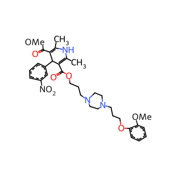 COC(=O)C1=C(C)NC(C)=C(C(=O)OCCCN2CCN(CCCOc3ccccc3OC)CC2)C1c1cccc([N+](=O)[O-])c1